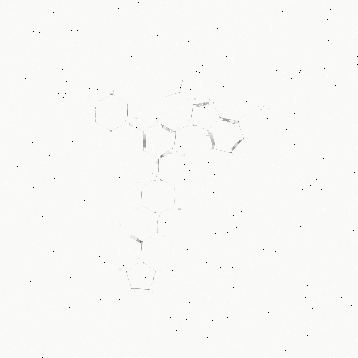 COc1cccc2c1nc(C(F)F)n2-c1nc(N2CCOCC2)cc(N2CCN(CC(=O)N3CCCC3)CC2)n1